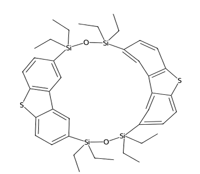 CC[Si]1(CC)O[Si](CC)(CC)c2ccc3sc4ccc(cc4c3c2)[Si](CC)(CC)O[Si](CC)(CC)c2ccc3sc4ccc1cc4c3c2